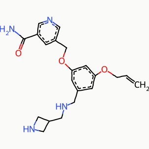 C=CCOc1cc(CNCC2CNC2)cc(OCc2cncc(C(N)=O)c2)c1